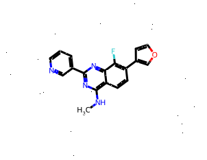 CNc1nc(-c2cccnc2)nc2c(F)c(-c3ccoc3)ccc12